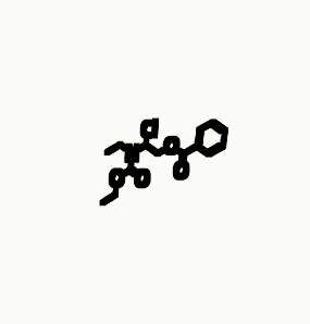 CCOC(=O)N(CC)C(Cl)COC(=O)c1ccccc1